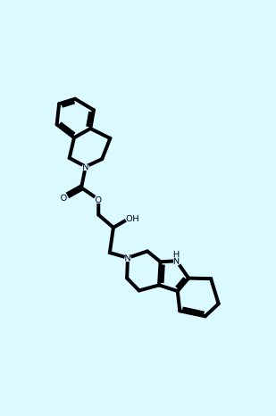 O=C(OCC(O)CN1CCc2c([nH]c3c2C=CCC3)C1)N1CCc2ccccc2C1